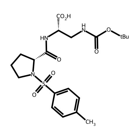 Cc1ccc(S(=O)(=O)N2CCC[C@@H]2C(=O)N[C@@H](CNC(=O)OC(C)(C)C)C(=O)O)cc1